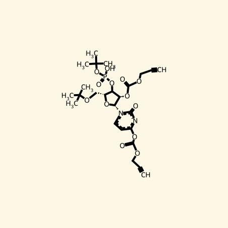 C#CCOC(=O)Oc1ccn([C@@H]2O[C@H](COC(C)(C)C)C(OP(=O)(O)OC(C)(C)C)[C@@H]2OC(=O)OCC#C)c(=O)n1